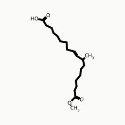 COC(=O)CCCCCCC(C)C=CCCCCCCCC(=O)O